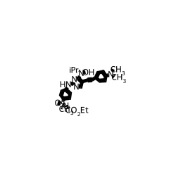 CCOC(=O)N=[S@](C)(=O)c1ccc(Nc2ncc(C#Cc3ccc(N(C)C)cc3)c(N(O)C(C)C)n2)cc1